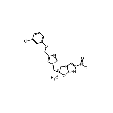 C[C@]1(Cn2cc(COc3cccc(Cl)c3)nn2)Cn2cc([N+](=O)[O-])nc2O1